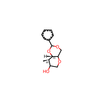 C[C@@H]1C(O)COC2COC(c3ccccc3)O[C@H]21